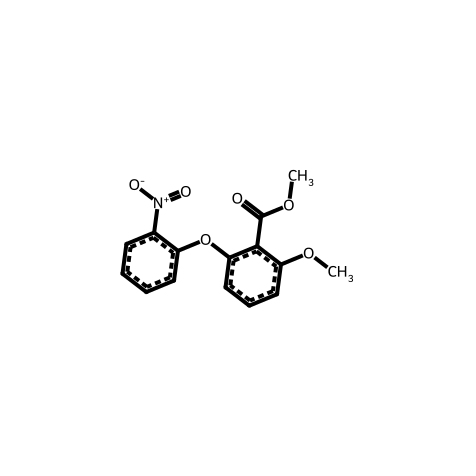 COC(=O)c1c(OC)cccc1Oc1ccccc1[N+](=O)[O-]